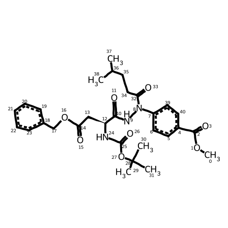 COC(=O)c1ccc(N(NC(=O)[C@H](CC(=O)OCc2ccccc2)NC(=O)OC(C)(C)C)C(=O)CCC(C)C)cc1